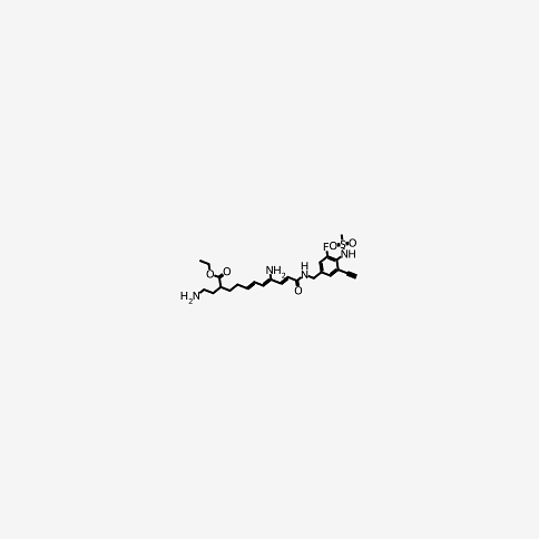 C#Cc1cc(CNC(=O)/C=C/C(N)=C/C=CCCC(CCN)C(=O)OCC)cc(F)c1NS(C)(=O)=O